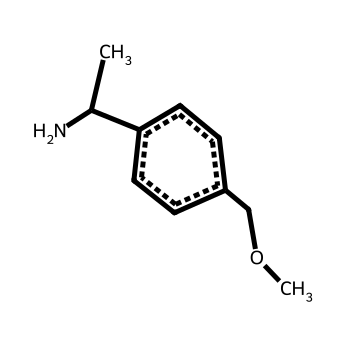 COCc1ccc(C(C)N)cc1